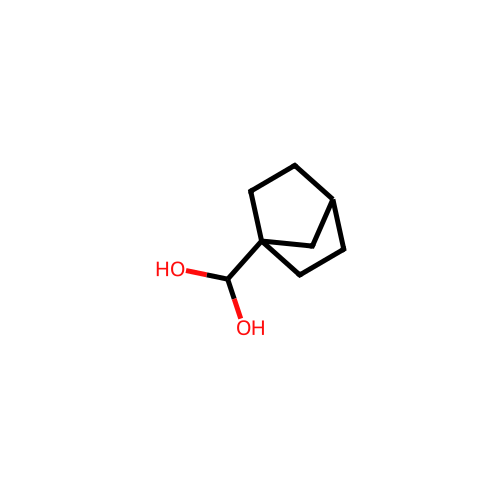 OC(O)C12CCC(CC1)C2